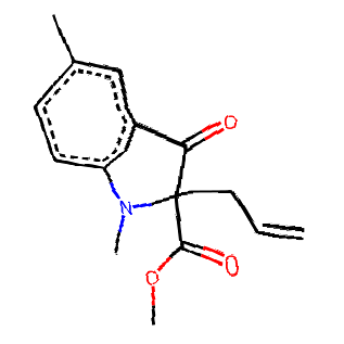 C=CCC1(C(=O)OC)C(=O)c2cc(C)ccc2N1C